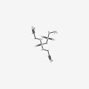 C#CCOP(=O)(CS(=O)(=O)OC)OCC#C